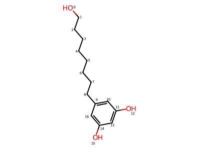 OCCCCCCCCc1cc(O)cc(O)c1